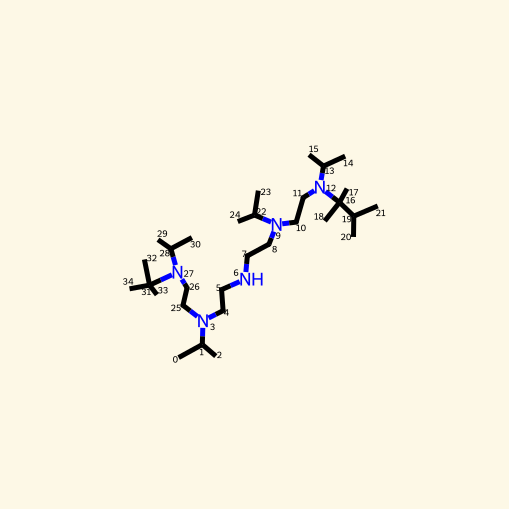 CC(C)N(CCNCCN(CCN(C(C)C)C(C)(C)C(C)C)C(C)C)CCN(C(C)C)C(C)(C)C